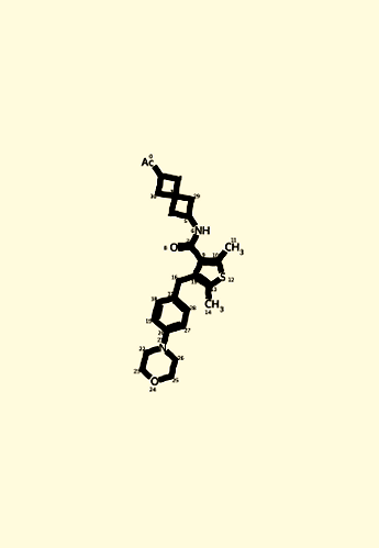 CC(=O)C1CC2(CC(NC(=O)c3c(C)sc(C)c3Cc3ccc(N4CCOCC4)cc3)C2)C1